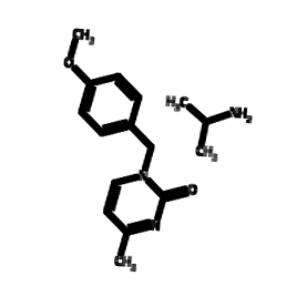 CC(C)N.COc1ccc(Cn2ccc(C)nc2=O)cc1